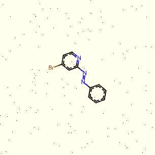 Brc1ccnc(/N=N/c2ccccc2)c1